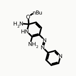 CCCCOC1(N)C=CC(N=Nc2cccnc2)=C(N)N1